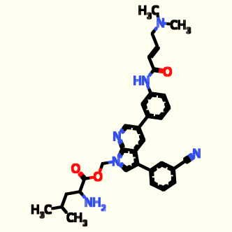 CC(C)CC(N)C(=O)OCn1cc(-c2cccc(C#N)c2)c2cc(-c3cccc(NC(=O)C=CCN(C)C)c3)cnc21